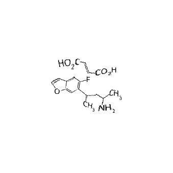 CC(N)CC(C)c1cc2occc2cc1F.O=C(O)/C=C/C(=O)O